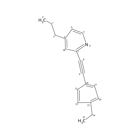 CCCc1ccnc(C#Cc2ccc(CC)cc2)c1